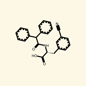 N#Cc1cccc(C[C@@H](NC(=O)C(c2ccccc2)c2ccccc2)C(=O)O)c1